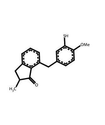 COc1ccc(Cc2cccc3c2C(=O)C(C)C3)cc1S